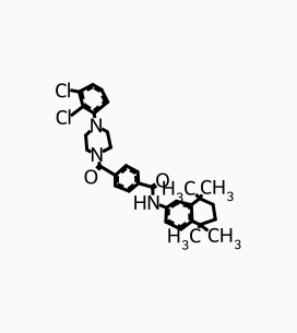 CC1(C)CCC(C)(C)c2cc(NC(=O)c3ccc(C(=O)N4CCN(c5cccc(Cl)c5Cl)CC4)cc3)ccc21